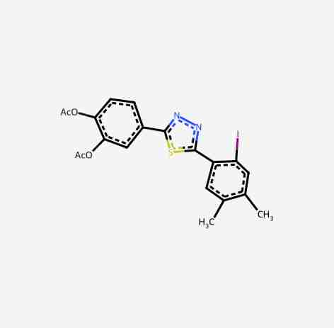 CC(=O)Oc1ccc(-c2nnc(-c3cc(C)c(C)cc3I)s2)cc1OC(C)=O